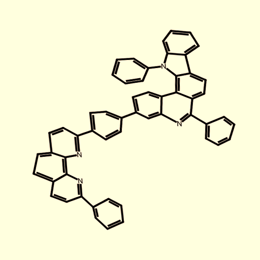 c1ccc(-c2ccc3ccc4ccc(-c5ccc(-c6ccc7c(c6)nc(-c6ccccc6)c6ccc8c9ccccc9n(-c9ccccc9)c8c67)cc5)nc4c3n2)cc1